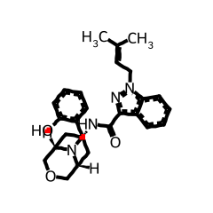 CC(C)=CCn1nc(C(=O)N[C@H]2C[C@H]3COC[C@@H](C2)N3Cc2ccccc2O)c2ccccc21